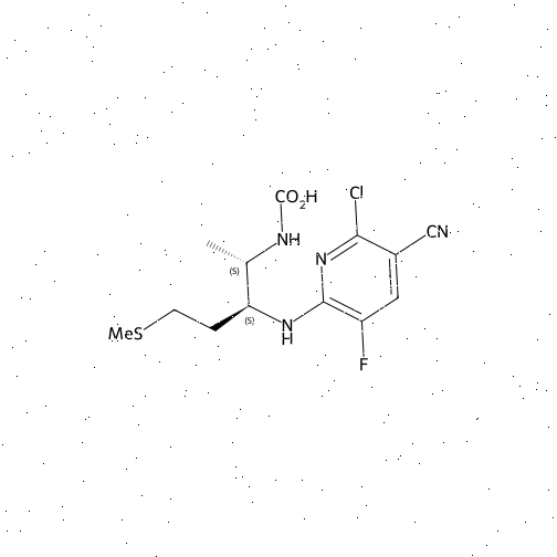 CSCC[C@H](Nc1nc(Cl)c(C#N)cc1F)[C@H](C)NC(=O)O